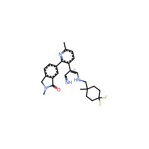 Cc1ccc(/C(C=N)=C/NCC2(C)CCC(F)(F)CC2)c(-c2ccc3c(c2)C(=O)N(C)C3)n1